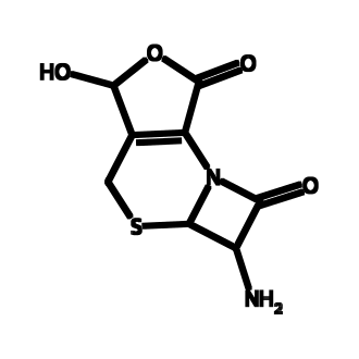 NC1C(=O)N2C3=C(CSC12)C(O)OC3=O